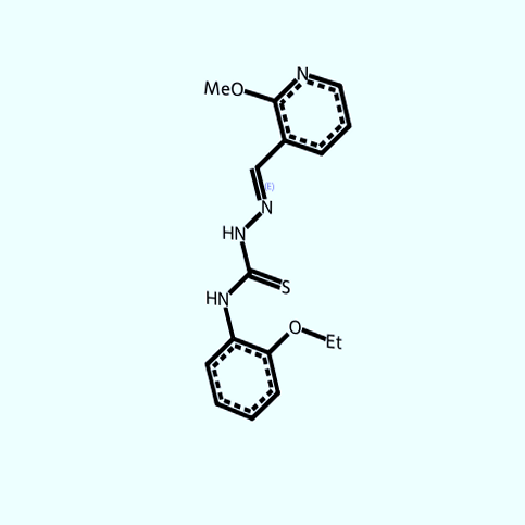 CCOc1ccccc1NC(=S)N/N=C/c1cccnc1OC